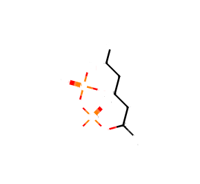 [2H]CCCCC(CC)OP(=O)(O)OP(=O)(O)O